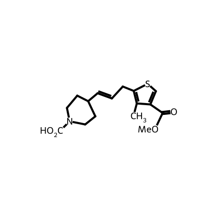 COC(=O)c1csc(CC=CC2CCN(C(=O)O)CC2)c1C